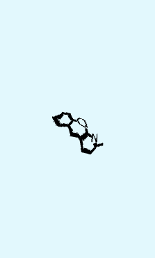 Cc1ccc2c(n1)Oc1ccccc1C2